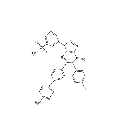 CS(=O)(=O)c1cccc(-n2cnc3c(=O)n(-c4ccc(Cl)cc4)c(-c4ccc(-c5ccc(N)nc5)cc4)nc32)c1